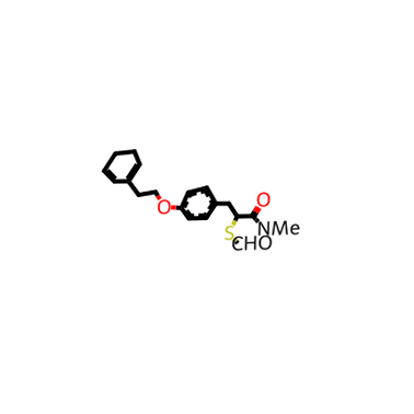 CNC(=O)C(Cc1ccc(OCCC2=CCCC=C2)cc1)SC=O